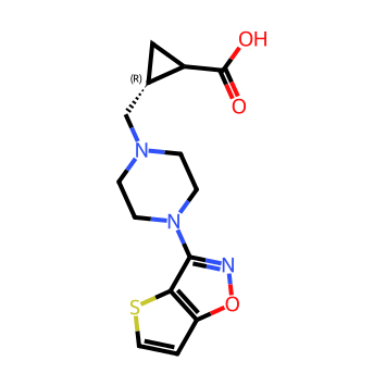 O=C(O)C1C[C@H]1CN1CCN(c2noc3ccsc23)CC1